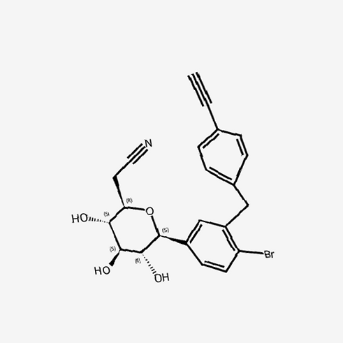 C#Cc1ccc(Cc2cc([C@@H]3O[C@H](CC#N)[C@@H](O)[C@H](O)[C@H]3O)ccc2Br)cc1